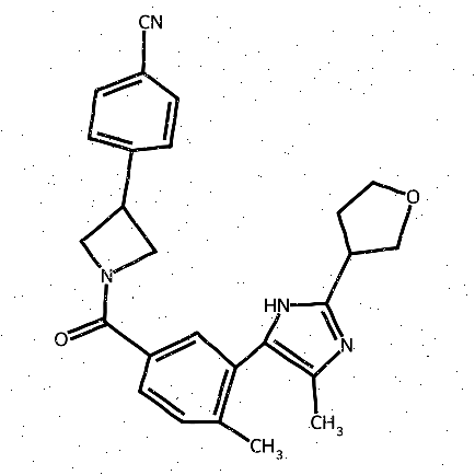 Cc1ccc(C(=O)N2CC(c3ccc(C#N)cc3)C2)cc1-c1[nH]c(C2CCOC2)nc1C